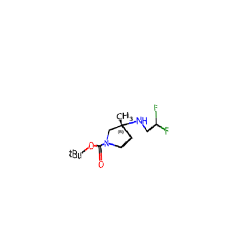 CC(C)(C)OC(=O)N1CC[C@@](C)(NCC(F)F)C1